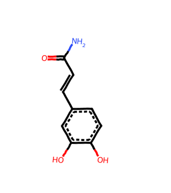 NC(=O)/C=C/c1ccc(O)c(O)c1